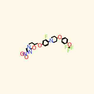 O=[N+]([O-])c1cn2c(n1)OC(COc1ccc(N3CCC(Oc4ccc(OC(F)(F)F)cc4)CC3)c(F)c1)CC2